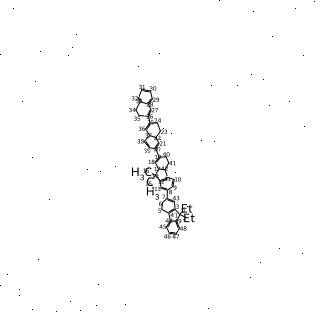 CCC1(CC)C2=C(CCC(c3ccc4c(c3)C(C)(C)C3C=C(C5=CC6CCC(C7=Cc8ccccc8CC7)=CC6C=C5)CCC43)=C2)c2ccccc21